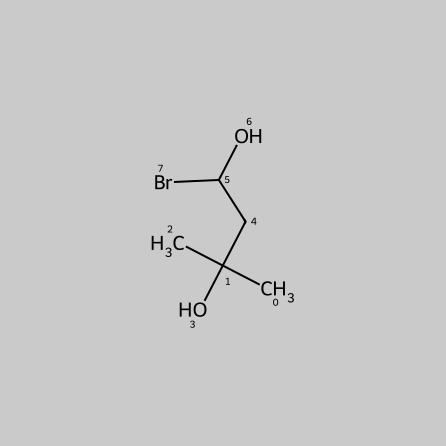 CC(C)(O)CC(O)Br